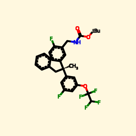 CC(C)(C)OC(=O)NCc1cc([C@](C)(Cc2ccccc2)c2cc(F)cc(OC(F)(F)C(F)F)c2)ccc1F